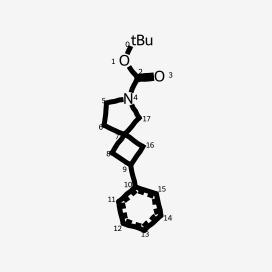 CC(C)(C)OC(=O)N1CCC2(CC(c3ccccc3)C2)C1